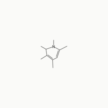 CC1=CC(C)=C(C)C(C)N1C